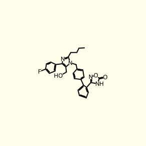 CCCCc1nc(-c2ccc(F)cc2)c(CO)n1Cc1ccc(-c2ccccc2-c2noc(=O)[nH]2)cc1